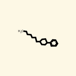 CCCCCCCC1CCC(c2ccccc2)CC1